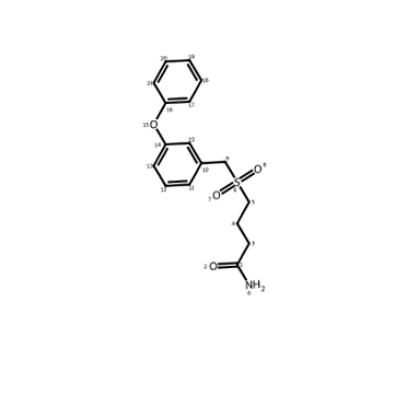 NC(=O)CCCS(=O)(=O)Cc1cccc(Oc2ccccc2)c1